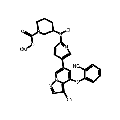 CN(c1ccc(-c2cc(Sc3ccccc3C#N)c3c(C#N)cnn3c2)cn1)C1CCCN(C(=O)OC(C)(C)C)C1